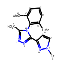 CCn1ccc(-c2nnc(C(=O)O)n2-c2c(OC)cccc2OC)n1